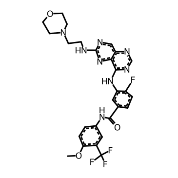 COc1ccc(NC(=O)c2ccc(F)c(Nc3ncnc4cnc(NCCN5CCOCC5)nc34)c2)cc1C(F)(F)F